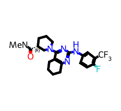 CNC(=O)[C@@H]1CCCN(c2nc(Nc3ccc(F)c(C(F)(F)F)c3)nc3c2CCCC3)C1